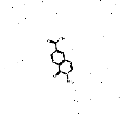 Nn1ccc2cc(C(=O)O)ccc2c1=O